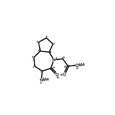 CNC1CCC2CCCC2N(CC(=O)OC)C1=O